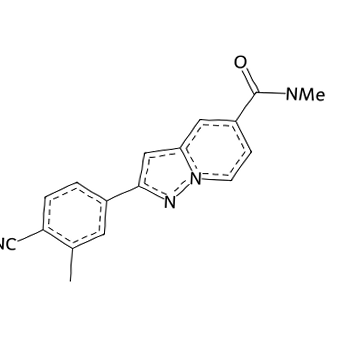 CNC(=O)c1ccn2nc(-c3ccc(C#N)c(C)c3)cc2c1